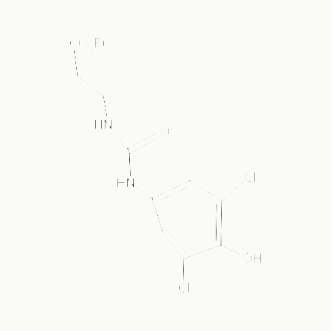 CCOC(=O)CCNC(=O)Nc1cc(Cl)c(O)c(Cl)c1